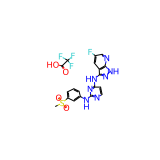 CS(=O)(=O)c1cccc(Nc2nccc(Nc3n[nH]c4ncc(F)cc34)n2)c1.O=C(O)C(F)(F)F